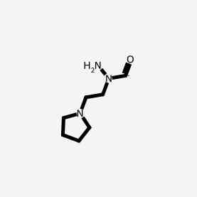 NN([C]=O)CCN1CCCC1